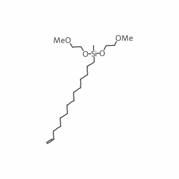 C=CCCCCCCCCCCCC[Si](C)(OCCOC)OCCOC